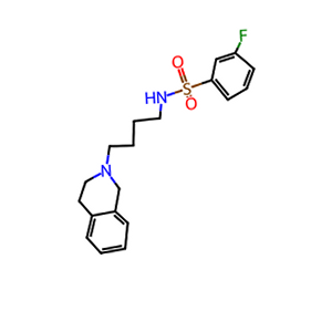 O=S(=O)(NCCCCN1CCc2ccccc2C1)c1cccc(F)c1